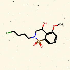 COc1cccc2c1C(O)CN(CCCCCl)S2(=O)=O